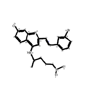 CCN(CC)CCCC(C)Nc1cc(/C=C/c2cccc(Br)c2)nc2cc(Cl)ccc12